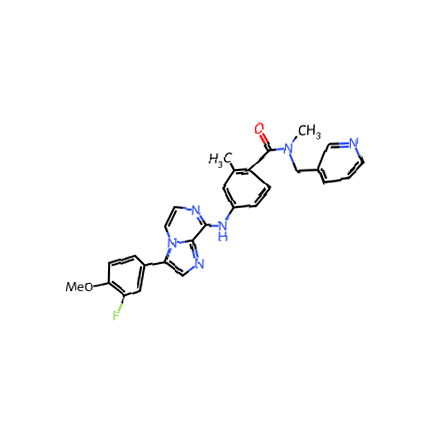 COc1ccc(-c2cnc3c(Nc4ccc(C(=O)N(C)Cc5cccnc5)c(C)c4)nccn23)cc1F